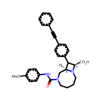 COc1ccc(NC(=O)N2CCCCN3[C@H](C(=O)O)C(c4ccc(C#Cc5ccccc5)cc4)[C@@H]3C2)cc1